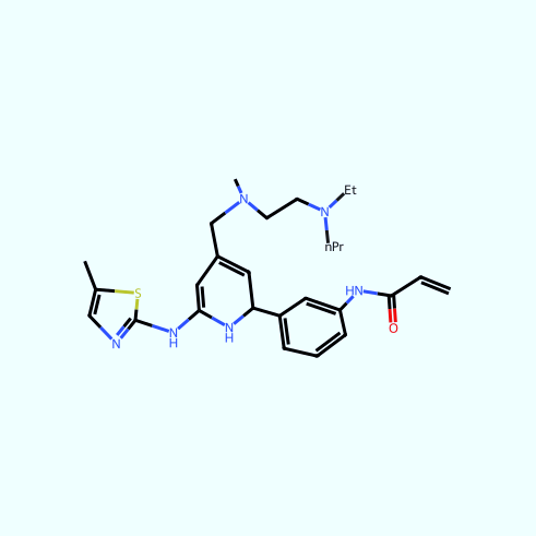 C=CC(=O)Nc1cccc(C2C=C(CN(C)CCN(CC)CCC)C=C(Nc3ncc(C)s3)N2)c1